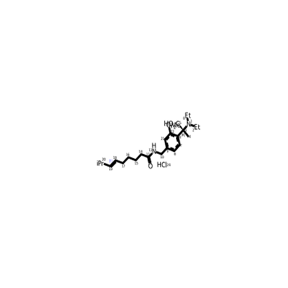 CCN(CC)[C@@](C)(C(=O)O)c1ccc(CNC(=O)CCCC/C=C/C(C)C)cc1OC.Cl